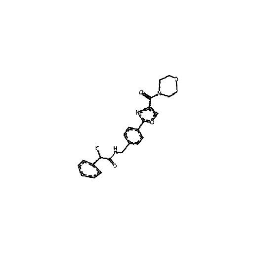 O=C(NCc1ccc(-c2nc(C(=O)N3CCOCC3)co2)cc1)C(F)c1ccccc1